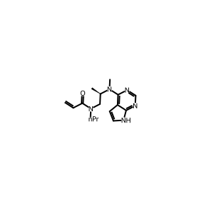 C=CC(=O)N(CCC)C[C@@H](C)N(C)c1ncnc2[nH]ccc12